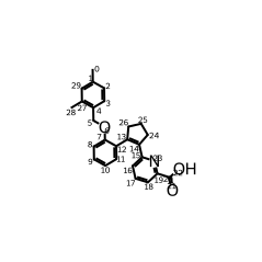 Cc1ccc(COc2ccccc2C2=C(c3cccc(C(=O)O)n3)CCC2)c(C)c1